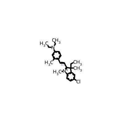 CCN(CC)c1ccc(/C=C/C2=[N+](C)c3ccc(Cl)cc3C2(C)CC)c(C)c1